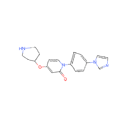 O=c1cc(OC2CCNCC2)ccn1-c1ccc(-n2ccnc2)cc1